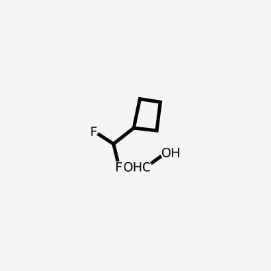 FC(F)C1CCC1.O=CO